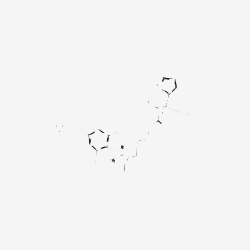 COc1cc(C)c(S(=O)(=O)N(C)CCOCC(=O)N2CCn3cccc3C2C(C)(C)C)c(C)c1